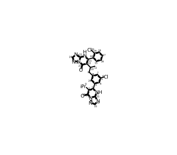 CC(C)c1c(-c2cc(Cl)cc(CC(C)c3c(-c4ccccc4Cl)[nH]c4ncnn4c3=O)c2)[nH]c2ncnn2c1=O